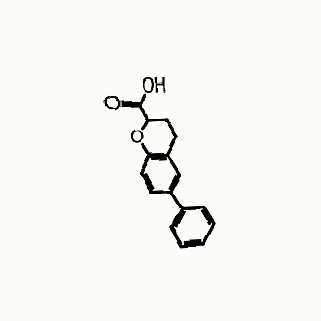 O=C(O)C1CCc2cc(-c3ccccc3)ccc2O1